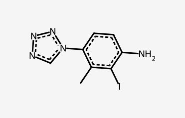 Cc1c(-n2cnnn2)ccc(N)c1I